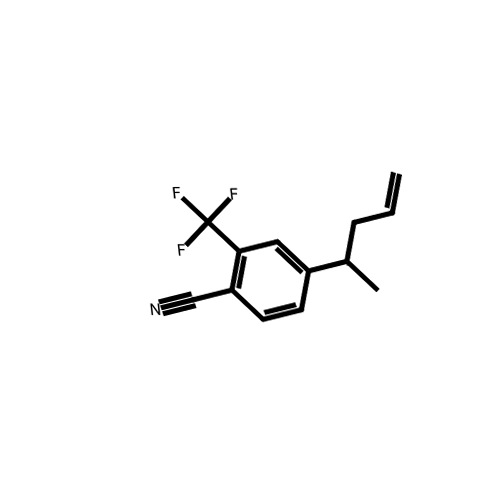 C=CC[C](C)c1ccc(C#N)c(C(F)(F)F)c1